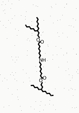 CCCCCCC(CCCCC)CCCOC(=O)CCCCCCCNCCCCCCCC(=O)OCCCC(CCCCCC)CCCCCC